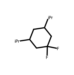 CC(C)C1CC(C(C)C)CC(F)(F)C1